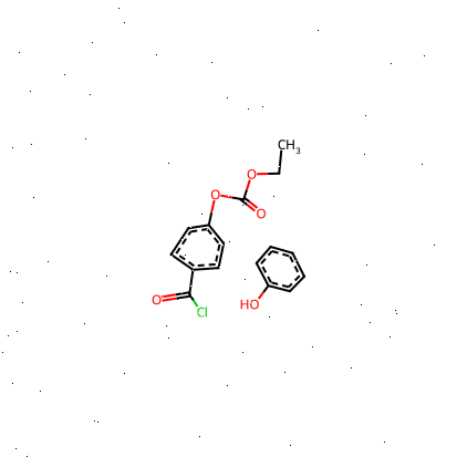 CCOC(=O)Oc1ccc(C(=O)Cl)cc1.Oc1ccccc1